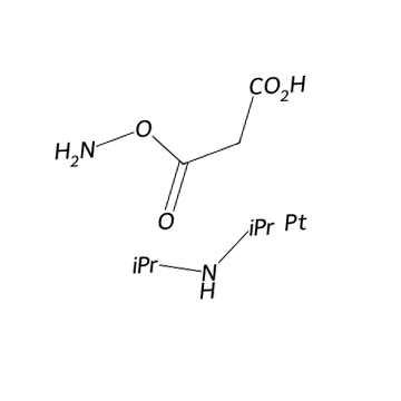 CC(C)NC(C)C.NOC(=O)CC(=O)O.[Pt]